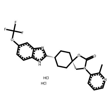 Cc1ncccc1N1C[C@]2(CC[C@@H](c3nc4cc(OC(F)(F)F)ccc4[nH]3)CC2)OC1=O.Cl.Cl